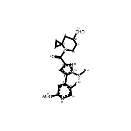 COc1cc(-c2cc(C(=O)N3CCC(C=O)CC34CC4)nn2SF)c(F)cn1